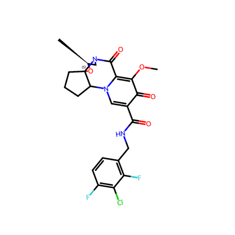 COc1c2n(cc(C(=O)NCc3ccc(F)c(Cl)c3F)c1=O)C1CCCC13O[C@@H](C)CN3C2=O